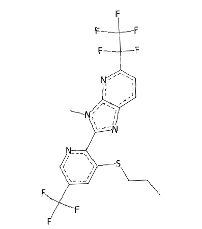 CCCSc1cc(C(F)(F)F)cnc1-c1nc2ccc(C(F)(F)C(F)(F)F)nc2n1C